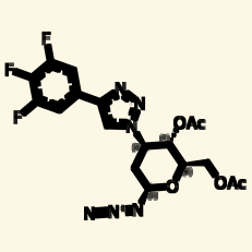 CC(=O)OC[C@H]1O[C@@H](N=[N+]=[N-])C[C@@H](n2cc(-c3cc(F)c(F)c(F)c3)nn2)[C@@H]1OC(C)=O